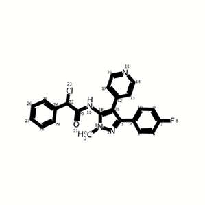 Cn1nc(-c2ccc(F)cc2)c(-c2ccncc2)c1NC(=O)C(Cl)c1ccccc1